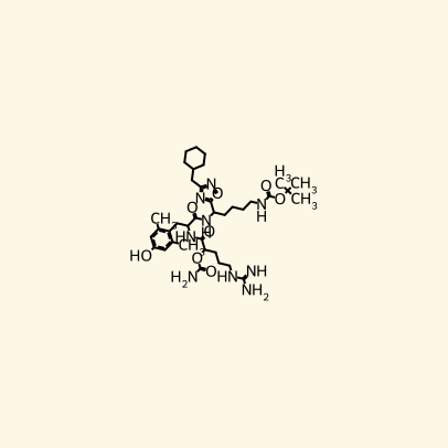 Cc1cc(O)cc(C)c1CC(NC(=O)C(CCCNC(=N)N)OC(N)=O)C(=O)NC(CCCCNC(=O)OC(C)(C)C)c1nc(CC2CCCCC2)no1